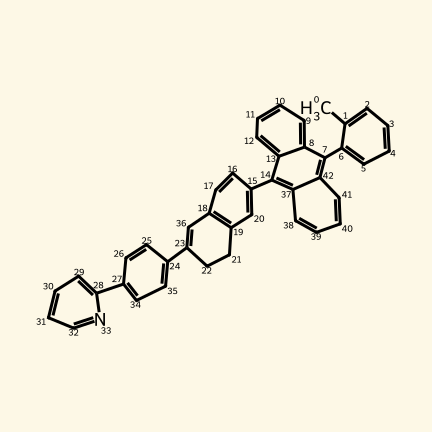 Cc1ccccc1-c1c2ccccc2c(-c2ccc3c(c2)CCC(c2ccc(-c4ccccn4)cc2)=C3)c2ccccc12